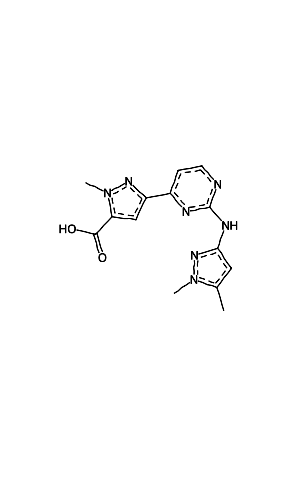 Cc1cc(Nc2nccc(-c3cc(C(=O)O)n(C)n3)n2)nn1C